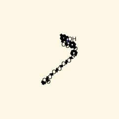 Cc1cc(C)c(/C(C(=O)O)=C(\O)C2CCC(OC3CCN(CCOCCOCCOCCOCCOCC(=O)OC(C)(C)C)CC3)CC2)c(C)c1